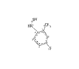 Fc1ccc(NS)c(C(F)(F)F)c1